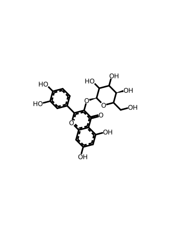 O=c1c(O[C@@H]2OC(CO)[C@H](O)C(O)C2O)c(-c2ccc(O)c(O)c2)oc2cc(O)cc(O)c12